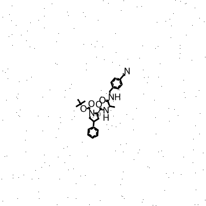 CC(NC(=O)[C@H]1CC(c2ccccc2)CN1C(=O)OC(C)(C)C)C(=O)NCc1ccc(C#N)cc1